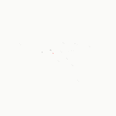 CC(C)(C)c1ccc2c(c1)c1cc(C(C)(C)C)ccc1n2-c1cc(-c2ccccc2C#N)ccc1-c1nc(-c2ccc(-c3ccc(C#N)cc3)cc2)nc(-c2ccc(-c3ccccc3C#N)cc2-n2c3ccc(C(C)(C)C)cc3c3cc(C(C)(C)C)ccc32)n1